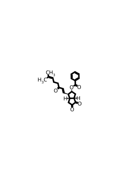 CC(C)=CCCC(=O)C=C[C@@H]1[C@H]2CC(=O)C(=O)[C@H]2C[C@H]1OC(=O)c1ccccc1